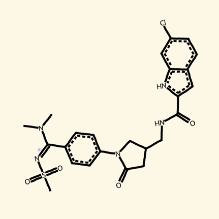 CN(C)/C(=N/S(C)(=O)=O)c1ccc(N2CC(CNC(=O)c3cc4ccc(Cl)cc4[nH]3)CC2=O)cc1